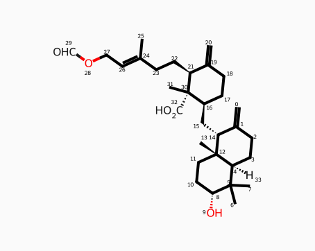 C=C1CC[C@H]2C(C)(C)[C@H](O)CC[C@]2(C)[C@@H]1C[C@@H]1CCC(=C)[C@H](CC/C(C)=C/COC=O)[C@@]1(C)C(=O)O